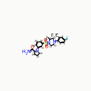 CC1CN(c2ccc(F)cc2C(F)(F)F)CCN1S(=O)(=O)c1cccc(N2CCCC2C(N)=O)c1